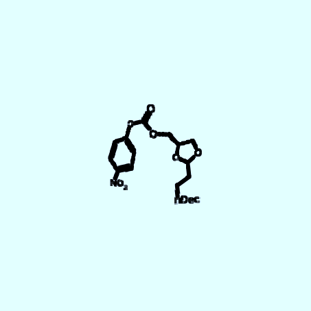 CCCCCCCCCCCCC1OCC(COC(=O)Oc2ccc([N+](=O)[O-])cc2)O1